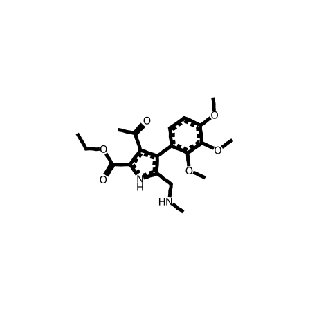 CCOC(=O)c1[nH]c(CNC)c(-c2ccc(OC)c(OC)c2OC)c1C(C)=O